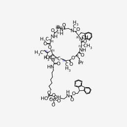 C/C=C(\C)[C@H]1OC(=O)[C@@H](C)NC(=O)[C@H]([C@H](C)CC)NC(=O)CN(C)C(=O)[C@@H](Cc2ccccc2)N(C)C(=O)[C@H](C)NC(=O)[C@@H](CC(C)C)OC(=O)/C(C)=C/C[C@H](OC(=O)NCCCCCCCOP(=O)(O)OP(=O)(O)OCCNC(=O)OCC2c3ccccc3-c3ccccc32)[C@@H]1C